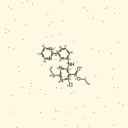 CCOC(=O)c1c(Cl)nc(SC)nc1Nc1cccc(-c2ncccn2)c1